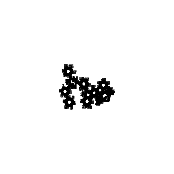 c1ccc(-c2cccc(-c3nc(-c4ccccc4)nc(-c4cccc(-c5nc6ccccc6c6cc7c(cc56)-c5ccccc5C75c6ccccc6Oc6ccccc65)c4)n3)c2)cc1